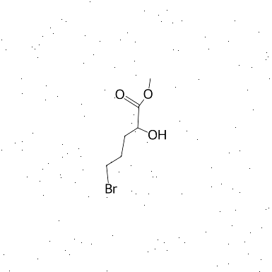 COC(=O)C(O)CCCBr